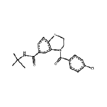 CC(C)(C)NC(=O)c1ccc2c(c1)N(C(=O)c1ccc(Cl)cc1)CCS2